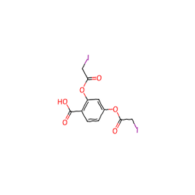 O=C(CI)Oc1ccc(C(=O)O)c(OC(=O)CI)c1